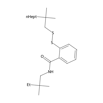 CCCCCCCC(C)(C)CSSc1ccccc1C(=O)NCC(C)(C)CC